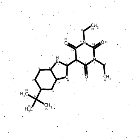 CCN1C(=O)C(C2BC3CCC(C(C)(C)C)CC3O2)C(=O)N(CC)C1=O